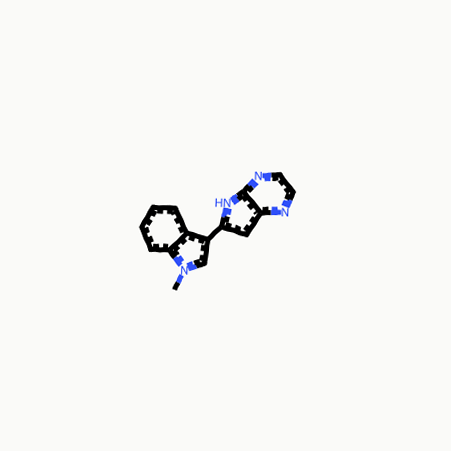 Cn1cc(-c2cc3nccnc3[nH]2)c2ccccc21